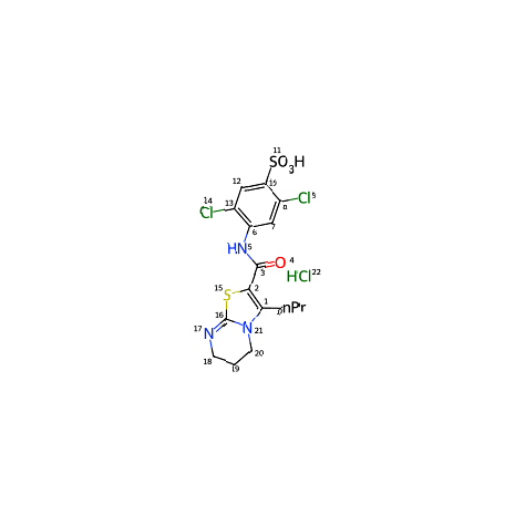 CCCC1=C(C(=O)Nc2cc(Cl)c(S(=O)(=O)O)cc2Cl)SC2=NCCCN21.Cl